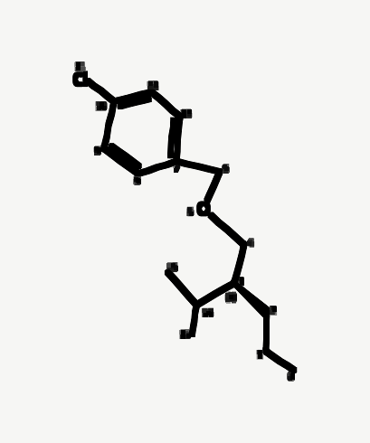 CCC[C@H](COCc1ccc(Cl)cc1)C(C)C